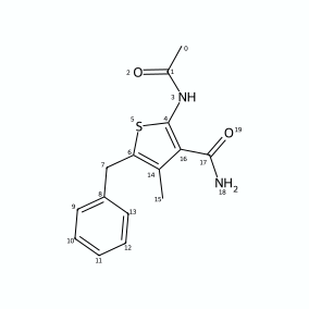 CC(=O)Nc1sc(Cc2ccccc2)c(C)c1C(N)=O